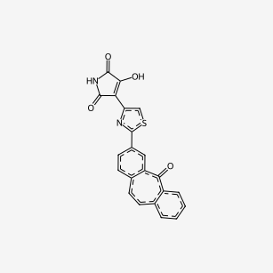 O=C1NC(=O)C(c2csc(-c3ccc4ccc5ccccc5c(=O)c4c3)n2)=C1O